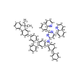 CC1(C)c2ccccc2-c2ccc(-c3ccc4c(c3)c3ccccc3c3cc5c6cc(-c7ccccc7)ccc6n(-c6cc(-c7cccc8cccnc78)nc(-c7cccc8cccnc78)n6)c5cc43)cc21